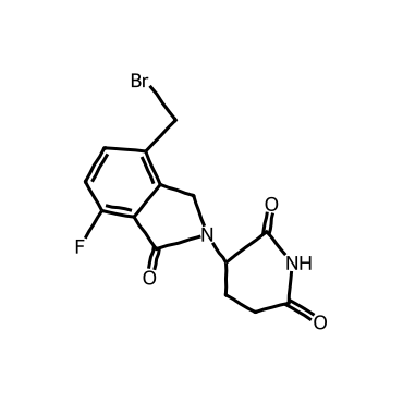 O=C1CCC(N2Cc3c(CBr)ccc(F)c3C2=O)C(=O)N1